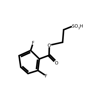 O=C(OCCS(=O)(=O)O)c1c(F)cccc1F